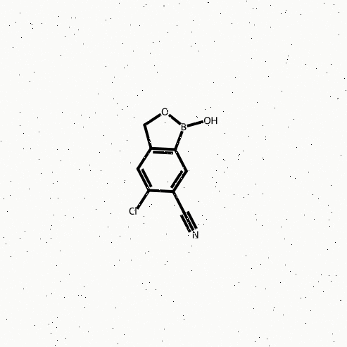 N#Cc1cc2c(cc1Cl)COB2O